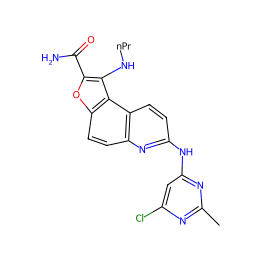 CCCNc1c(C(N)=O)oc2ccc3nc(Nc4cc(Cl)nc(C)n4)ccc3c12